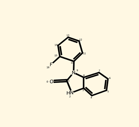 O=c1[nH]c2ccccc2n1-c1ccccc1F